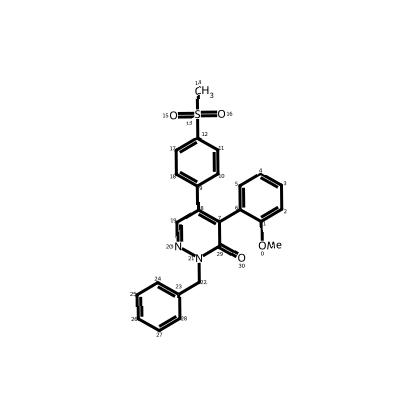 COc1ccccc1-c1c(-c2ccc(S(C)(=O)=O)cc2)cnn(Cc2ccccc2)c1=O